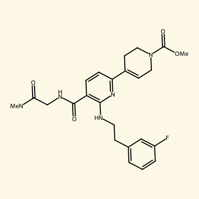 CNC(=O)CNC(=O)c1ccc(C2=CCN(C(=O)OC)CC2)nc1NCCc1cccc(F)c1